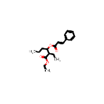 CCCC(OC(=O)C=Cc1ccccc1)C(CC)C(=O)OCC